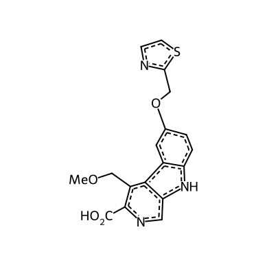 COCc1c(C(=O)O)ncc2[nH]c3ccc(OCc4nccs4)cc3c12